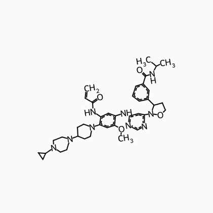 C=CC(=O)Nc1cc(Nc2cc(N3OCCC3c3cccc(C(=O)NC(C)C)c3)ncn2)c(OC)cc1N1CCC(N2CCN(C3CC3)CC2)CC1